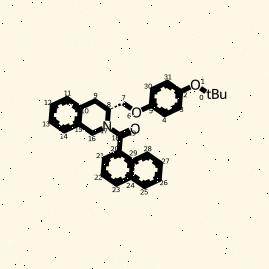 CC(C)(C)Oc1ccc(OC[C@H]2Cc3ccccc3CN2C(=O)c2cccc3ccccc23)cc1